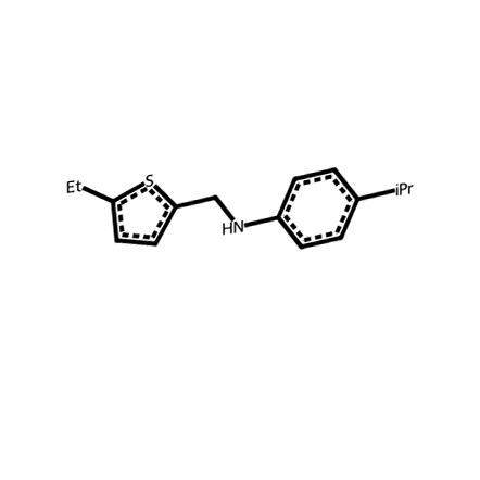 CCc1ccc(CNc2ccc(C(C)C)cc2)s1